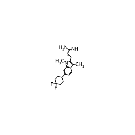 Cc1c(CSC(=N)N)n(C)c2cc(C3CCC(F)(F)CC3)ccc12